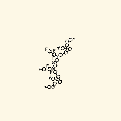 C=CC1=CCC(Oc2ccc(C3(C4=CCC(C(C)(C)C)C=C4)c4ccccc4-c4ccc(C5CC=C(N(C6C=CC7C8=C(CC(N(c9cc(F)c(-c%10ccc(F)cc%10)cc9F)C9C=CC(C%10=CC%11=C(CC%10)C%10CCC=CC%10C%11(C%10=CCC(Oc%11ccc(C=C)cc%11)C=C%10)C%10=CC=C(C(C)(C)C)CC%10)=CC9)C=C8)OC7C6)C6CC(F)=C(c7ccc(F)cc7)CC6F)CC5)cc43)cc2)C=C1